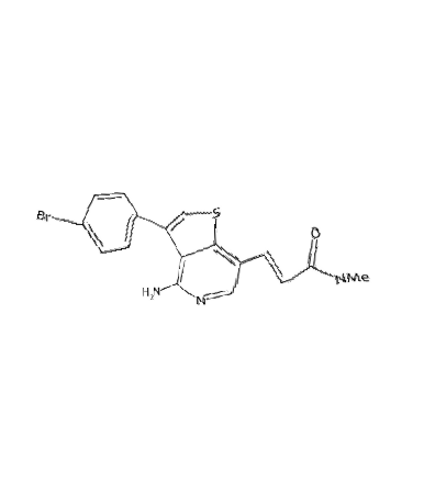 CNC(=O)C=Cc1cnc(N)c2c(-c3ccc(Br)cc3)csc12